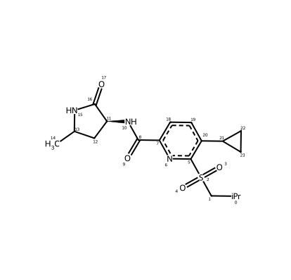 CC(C)CS(=O)(=O)c1nc(C(=O)N[C@H]2CC(C)NC2=O)ccc1C1CC1